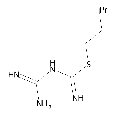 CC(C)CCSC(=N)NC(=N)N